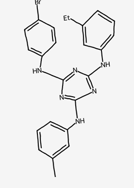 CCc1cccc(Nc2nc(Nc3ccc(Br)cc3)nc(Nc3cccc(C)c3)n2)c1